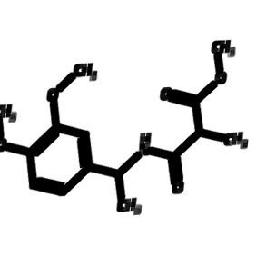 COC(=O)C(C)C(=O)NC(C)c1ccc(OC)c(OC)c1